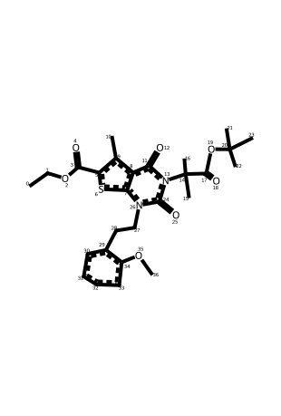 CCOC(=O)c1sc2c(c1C)c(=O)n(C(C)(C)C(=O)OC(C)(C)C)c(=O)n2CCc1ccccc1OC